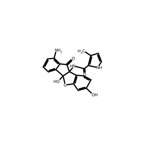 Cc1cc[nH]c1C(=O)NC12C(=O)c3c(N)cccc3C1(O)Oc1cc(O)ccc12